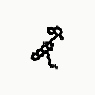 NCCCCNC(=O)C(Cc1ccc2ccccc2c1)NC(=O)CCN1C(=O)CCSc2ccccc21